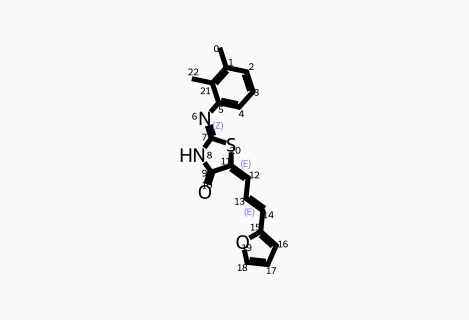 Cc1cccc(/N=C2/NC(=O)/C(=C\C=C\c3ccco3)S2)c1C